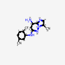 N#Cc1ccc(C(F)(F)F)c(Nc2cc(N)c3ncc(C#N)n3n2)c1